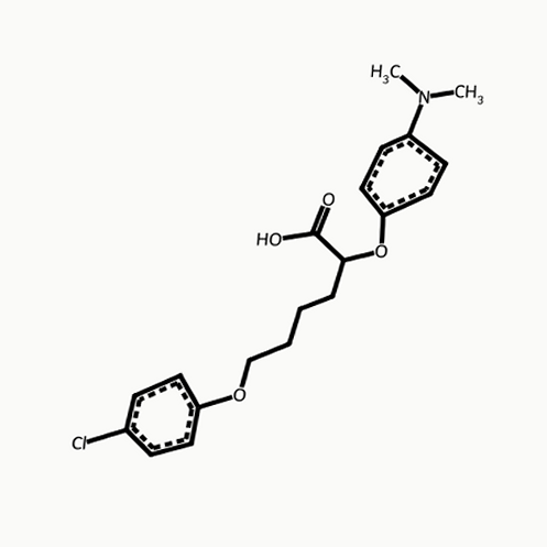 CN(C)c1ccc(OC(CCCCOc2ccc(Cl)cc2)C(=O)O)cc1